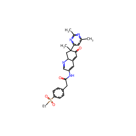 CCS(=O)(=O)c1ccc(CC(=O)NC2=CC3=CC(=O)C(C)(c4cc(C)nc(C)n4)CC3N=C2)cc1